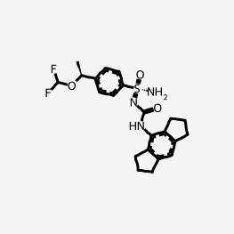 C[C@H](OC(F)F)c1ccc([S@@](N)(=O)=NC(=O)Nc2c3c(cc4c2CCC4)CCC3)cc1